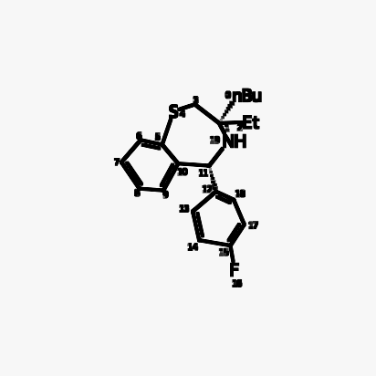 CCCC[C@@]1(CC)CSc2ccccc2[C@@H](c2ccc(F)cc2)N1